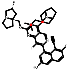 C#Cc1c(F)ccc2cc(O)cc(-c3ncc4c(N5CC6CCC(C5)N6CCN(C)C)nc(OC[C@@]56CCCN5C[C@H](F)C6)nc4c3F)c12